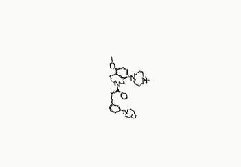 COc1ccc(N2CCN(C)CC2)c2c1CCN(C(=O)Cc1cccc(N3CCOCC3)c1)C2